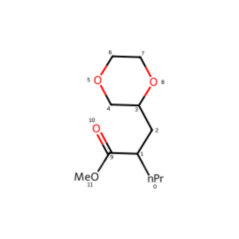 CCCC(CC1COCCO1)C(=O)OC